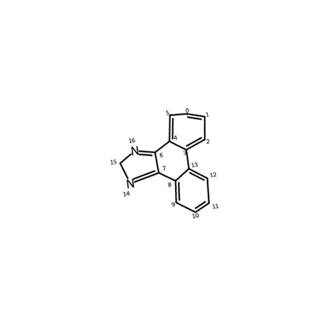 c1ccc2c(c1)c1c(c3ccccc32)=NCN=1